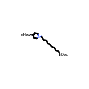 CCCCCCCCCCCCCCCCCCC[n+]1ccc(CCCCCC)cc1